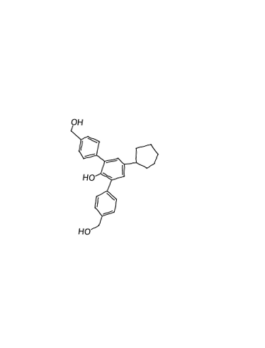 OCc1ccc(-c2cc(C3CCCCC3)cc(-c3ccc(CO)cc3)c2O)cc1